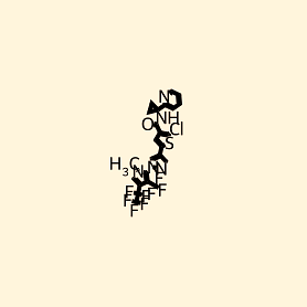 Cn1cc(C(F)(F)C(F)(F)F)c(C(F)(F)F)c1-n1cc(-c2cc(C(=O)NC3(c4ccccn4)CC3)c(Cl)s2)cn1